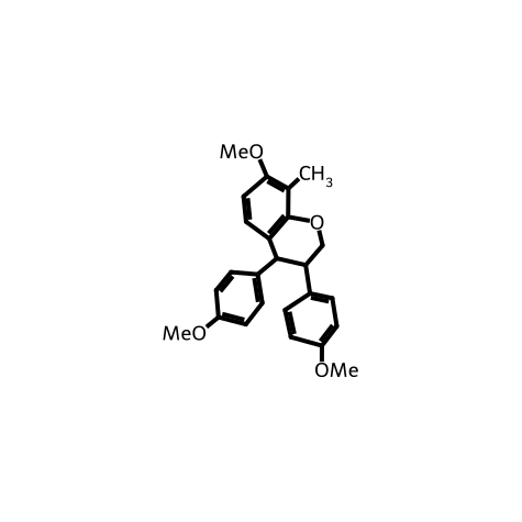 COc1ccc(C2COc3c(ccc(OC)c3C)C2c2ccc(OC)cc2)cc1